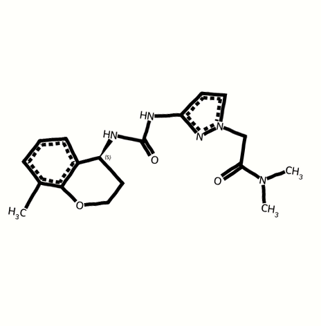 Cc1cccc2c1OCC[C@@H]2NC(=O)Nc1ccn(CC(=O)N(C)C)n1